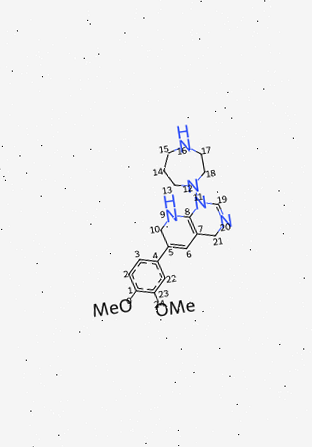 COc1ccc(C2=CC3=C(NC2)N(N2CCCNCC2)C=NC3)cc1OC